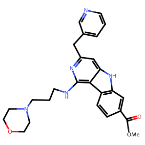 COC(=O)c1ccc2c(c1)[nH]c1cc(Cc3cccnc3)nc(NCCCN3CCOCC3)c12